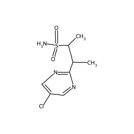 CC(c1ncc(Cl)cn1)C(C)S(N)(=O)=O